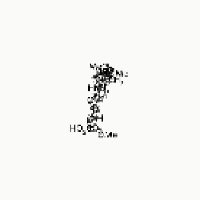 COC[C@H]1C[C@@H](c2ncc(-c3ccc4c(c3)COc3cc5c(ccc6nc([C@@H]7CC[C@H](C)N7C(=O)[C@@H](NC(=O)OC)[C@@H](C)OC)[nH]c65)cc3-4)[nH]2)N(C(=O)O)C1